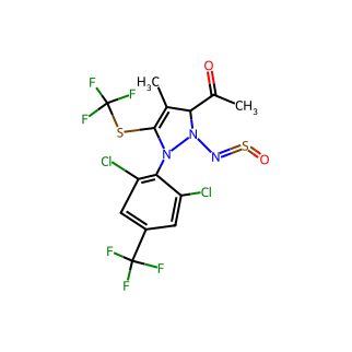 CC(=O)C1C(C)=C(SC(F)(F)F)N(c2c(Cl)cc(C(F)(F)F)cc2Cl)N1N=S=O